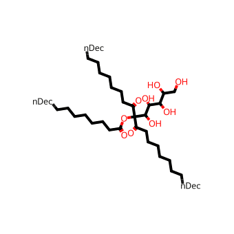 CCCCCCCCCCCCCCCCCC(=O)OC(C(=O)CCCCCCCCCCCCCCCCC)(C(=O)CCCCCCCCCCCCCCCCC)C(O)C(O)C(O)C(O)CO